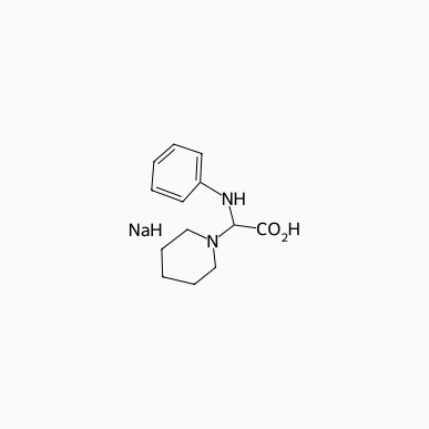 O=C(O)C(Nc1ccccc1)N1CCCCC1.[NaH]